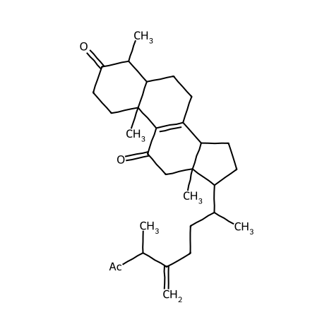 C=C(CCC(C)C1CCC2C3=C(C(=O)CC21C)C1(C)CCC(=O)C(C)C1CC3)C(C)C(C)=O